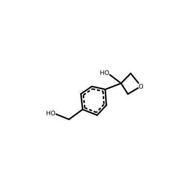 OCc1ccc(C2(O)COC2)cc1